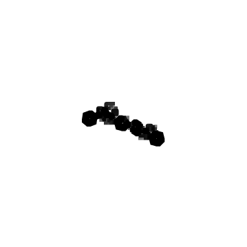 O=C(Nc1ccc(N2CC3CC2CN3C(=O)Nc2ccccc2F)nc1)c1nc(-c2ccccc2)oc1C(F)(F)F